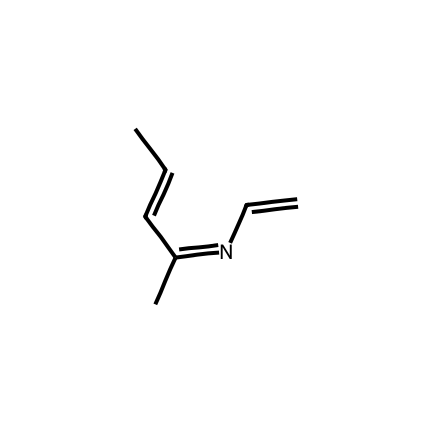 C=C/N=C(/C)C=CC